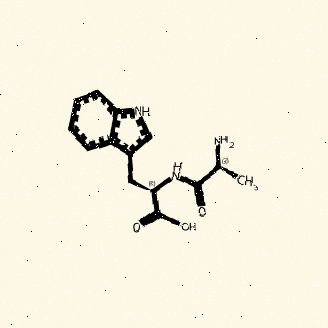 C[C@H](N)C(=O)N[C@H](Cc1c[nH]c2ccccc12)C(=O)O